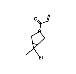 C=CC(=O)N1CC2C(C1)C2(C)CC